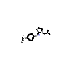 CC(C)CN1CCS/C1=N\c1ccc([N+](=O)[O-])cc1